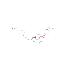 O=C(O)C1CCC(CNCc2ccc3c(C(F)F)c(OC4CCC(C(F)(F)F)CC4)ccc3c2)CC1